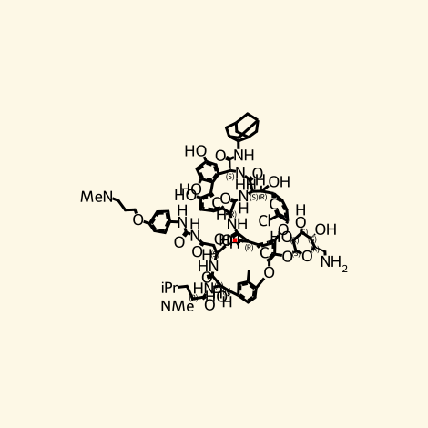 CNCCCOc1ccc(NC(=O)NC(=O)C[C@@H]2NC(=O)[C@H](NC(=O)[C@@H](CC(C)C)NC)[C@H](O)c3ccc(c(C)c3)Oc3cc4cc(c3O[C@@H]3O[C@H](CN)[C@@H](O)[C@H](O)[C@H]3O)Oc3ccc(cc3Cl)[C@@H](O)[C@@H]3NC(=O)[C@H](NC(=O)[C@@H]4NC2=O)c2ccc(O)c(c2)-c2c(O)cc(O)cc2[C@@H](C(=O)NC2C4CC5CC(C4)CC2C5)NC3=O)cc1